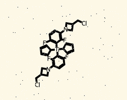 Fc1ccc(N2CC(CCl)C2)c(F)[c]1[Ti]([c]1c(F)ccc(N2CC(CCl)C2)c1F)([CH]1C=CC=C1)[CH]1C=CC=C1